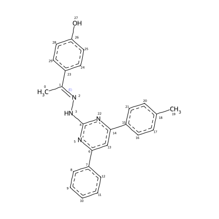 C/C(=N\Nc1nc(-c2ccccc2)cc(-c2ccc(C)cc2)n1)c1ccc(O)cc1